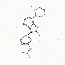 Cc1nc2c(N3CCOCC3)ccnn2c1-c1ccnc(OC(C)C)c1